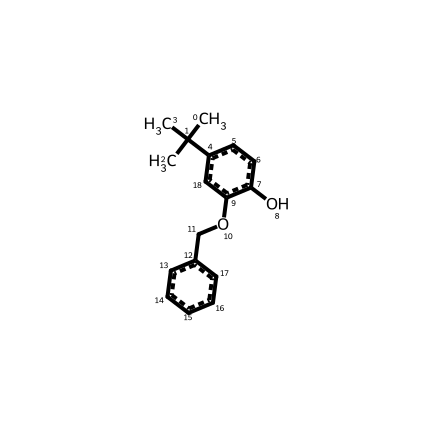 CC(C)(C)c1ccc(O)c(OCc2ccccc2)c1